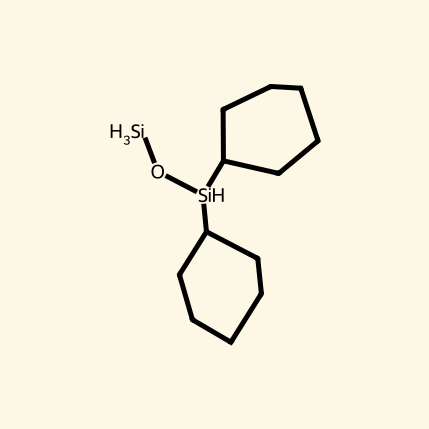 [SiH3]O[SiH](C1CCCCC1)C1CCCCC1